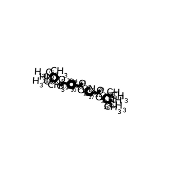 CC1(C)CC(OC(=O)c2ccc(C(=O)Oc3ccc(C(=O)OC4CC(C)(C)NC(C)(C)C4)nc3)cc2)CC(C)(C)N1